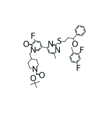 Cc1cc(-c2cc(F)c(=O)n(CC3CCN(C(=O)OC(C)(C)C)CC3)c2)nc(SCCC(OCc2ccc(F)cc2F)c2ccccc2)n1